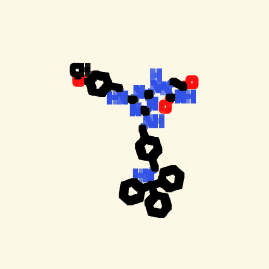 COc1ccc(CNc2nc(NCc3ccc(CNC(c4ccccc4)(c4ccccc4)c4ccccc4)cc3)nc(NN3CC(=O)NC3=O)n2)cc1